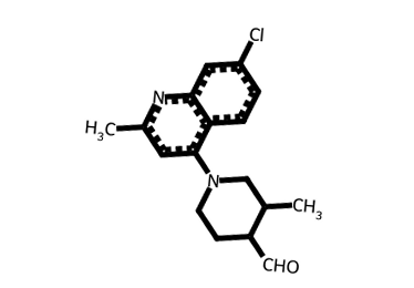 Cc1cc(N2CCC(C=O)C(C)C2)c2ccc(Cl)cc2n1